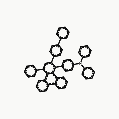 c1ccc(-c2ccc(-c3cc(-c4ccccc4)c4c5ccccc5c5ccccc5c4c3-c3ccc(N(c4ccccc4)c4ccccc4)cc3)cc2)cc1